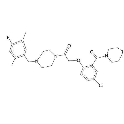 Cc1cc(CN2CCN(C(=O)COc3ccc(Cl)cc3C(=O)N3CCNCC3)CC2)c(C)cc1F